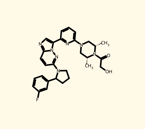 C[C@@H]1CN(c2cccc(-c3cnc4ccc(N5CCCC5c5cccc(F)c5)nn34)n2)C[C@H](C)N1C(=O)CO